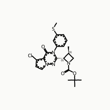 CSc1cccc(-n2c([C@@H]3[C@@H](C)CN3C(=O)OC(C)(C)C)nn3ccc(Cl)c3c2=O)c1